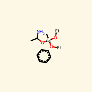 CCO[Si](C)(OCC)OC(C)N.c1ccccc1